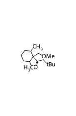 COCC1(C(=O)CC(C)(C)C)C(C)CCCC1C